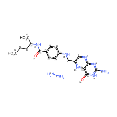 NN.Nc1nc2ncc(CNc3ccc(C(=O)NC(CCC(=O)O)C(=O)O)cc3)nc2c(=O)[nH]1